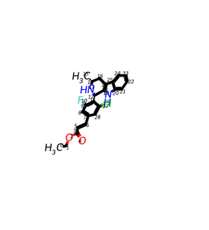 CCOC(=O)/C=C/c1cc(F)c([C@H]2N[C@H](C)Cc3c2[nH]c2ccccc32)c(Cl)c1